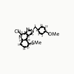 COc1ccc(Cn2cc3c(n2)c(Cl)nc2cccc(SC)c23)cc1